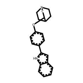 c1ccc2[nH]c(-c3ccc(OC4CN5CCC4CC5)cc3)cc2c1